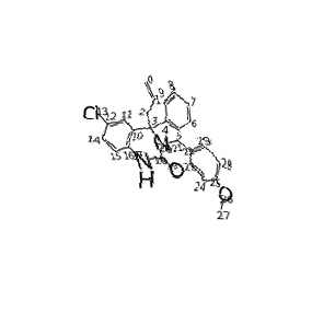 C=CCC1(c2ccccc2)c2cc(Cl)ccc2NC(=O)N1Cc1ccc(OC)cc1